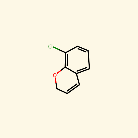 Clc1cccc2c1OCC=C2